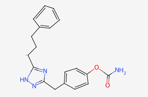 NC(=O)Oc1ccc(Cc2n[nH]c([CH]CCc3ccccc3)n2)cc1